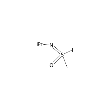 CC(C)N=S(C)(=O)I